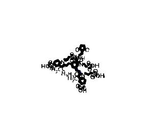 CC1(C)C(CCC2=C/C(=C/C=C3/N(CCCS(=O)(=O)O)c4ccc(S(=O)(=O)O)cc4C3(C)C)CC(C(=O)NCCC3C(=O)CCC3=O)(C(=O)NCCS(=O)(=O)O)C2)=[N+](CCCS(=O)(=O)O)c2ccc(S(=O)(=O)O)cc21